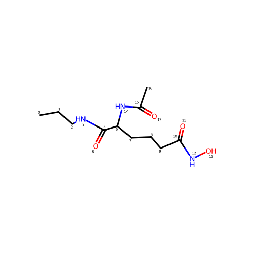 CCCNC(=O)C(CCCC(=O)NO)NC(C)=O